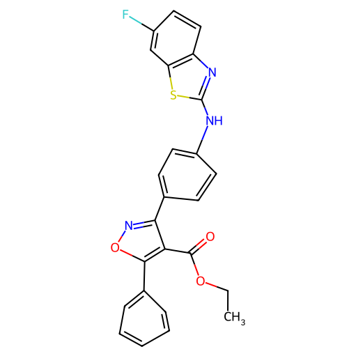 CCOC(=O)c1c(-c2ccc(Nc3nc4ccc(F)cc4s3)cc2)noc1-c1ccccc1